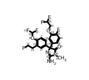 CN1C(=O)C(c2ccc(OC(F)F)c(CCF)c2)(c2ccc(F)c(OCC(F)F)c2)N=C1N